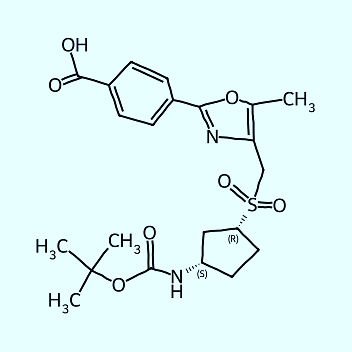 Cc1oc(-c2ccc(C(=O)O)cc2)nc1CS(=O)(=O)[C@@H]1CC[C@H](NC(=O)OC(C)(C)C)C1